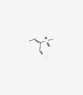 C=C/C(=C\C)S(C)(=O)=O